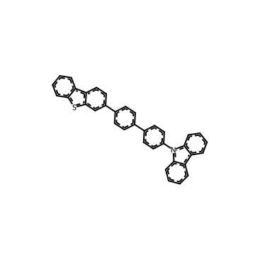 c1ccc2c(c1)sc1cc(-c3ccc(-c4ccc(-n5c6ccccc6c6ccccc65)cc4)cc3)ccc12